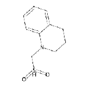 O=[SH](=O)CN1CCCc2ccccc21